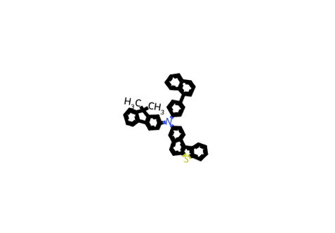 CC1(C)c2ccccc2-c2ccc(N(c3ccc(-c4cccc5ccccc45)cc3)c3ccc4c(ccc5sc6ccccc6c54)c3)cc21